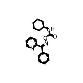 O=C(NC1CCCCC1)ON=C(c1ccccc1)c1ccccn1